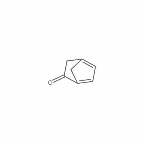 O=C1CC2=CC=C1C2